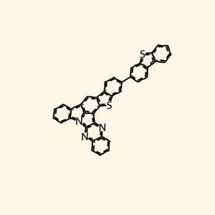 c1ccc2nc3c(nc2c1)c1c2sc4cc(-c5ccc6c(c5)sc5ccccc56)ccc4c2cc2c4ccccc4n3c21